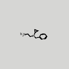 NCCN(Cc1ccccc1)C1CC1